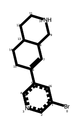 Brc1cncc(C2=CC3CNCCC3CC2)c1